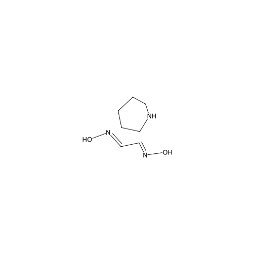 C1CCNCC1.ON=CC=NO